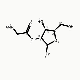 CNCC(=O)O[C@H]1C(C(C)C)O[C@H](CO)[C@@H]1O